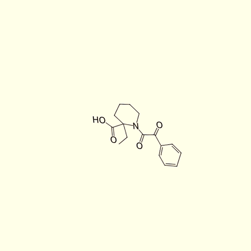 CCC1(C(=O)O)CCCCN1C(=O)C(=O)c1ccccc1